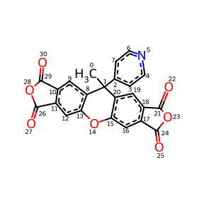 CC1(c2ccncc2)c2cc3c(cc2Oc2cc4c(cc21)C(=O)OC4=O)C(=O)OC3=O